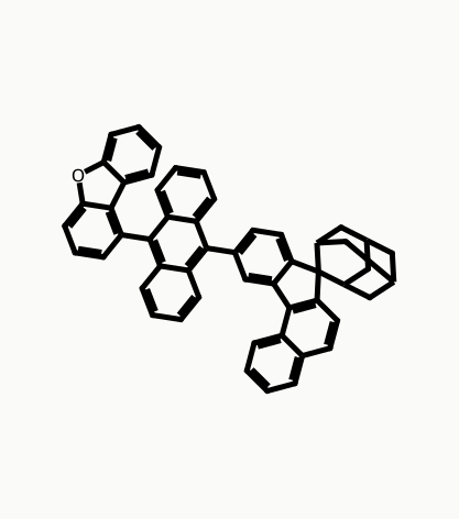 c1ccc2c3c(ccc2c1)C1(c2ccc(-c4c5ccccc5c(-c5cccc6oc7ccccc7c56)c5ccccc45)cc2-3)C2CC3CC(C2)CC1C3